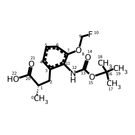 C[C@@H](Cc1cccc(OCF)c1NC(=O)OC(C)(C)C)C(=O)O